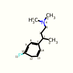 CC(CCN(C)C)C1=CC=C(F)CC=C1